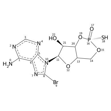 Nc1ncnc2c1nc(Br)n2[C@@H]1OC2CO[P@@](=O)(S)OC2[C@@H]1O